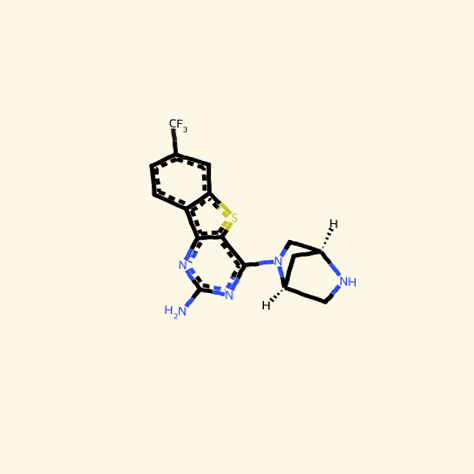 Nc1nc(N2C[C@@H]3C[C@H]2CN3)c2sc3cc(C(F)(F)F)ccc3c2n1